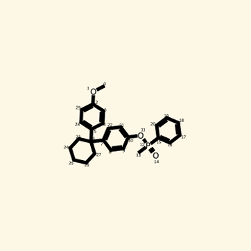 COc1ccc(C2(c3ccc(OP(C)(=O)c4ccccc4)cc3)CCCCC2)cc1